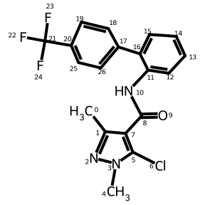 Cc1nn(C)c(Cl)c1C(=O)Nc1ccccc1-c1ccc(C(F)(F)F)cc1